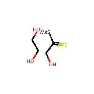 CSC(=S)CO.OCCO